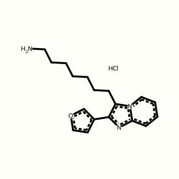 Cl.NCCCCCCCc1c(-c2ccoc2)nc2ccccn12